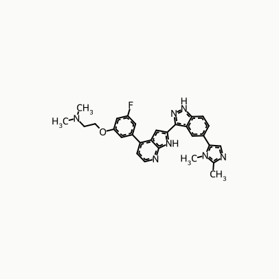 Cc1ncc(-c2ccc3[nH]nc(-c4cc5c(-c6cc(F)cc(OCCN(C)C)c6)ccnc5[nH]4)c3c2)n1C